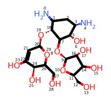 NC1C[C@@H](N)[C@@H](O)C(O[C@@H]2O[C@H](CO)C(O)[C@@H]2O)[C@@H]1O[C@@H]1C=C(O)[C@H](O)C(CO)O1